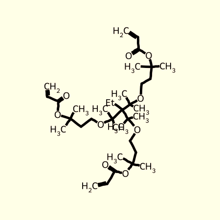 C=CC(=O)OC(C)(C)CCOC(C)(C)C(CC)(C(C)(C)OCCC(C)(C)OC(=O)C=C)C(C)(C)OCCC(C)(C)OC(=O)C=C